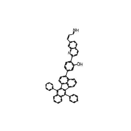 N=C/C=C\c1ccc2ccc(-c3ccc(-c4ccc5c6c(cccc46)-c4c-5c(-c5ccccc5)c5ccccc5c4-c4ccccc4)cc3O)nc2c1